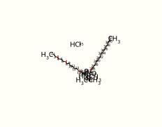 CCCCCCCCCCCCCCCCCC(=O)NC(C)(NC(=O)CCCCCCCCCCCCCCCCC)N(C)C.Cl